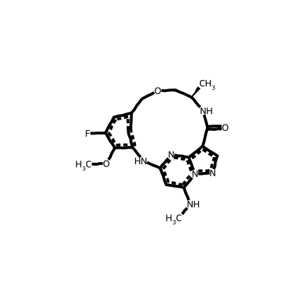 CNc1cc2nc3c(cnn13)C(=O)N[C@H](C)COCc1cc(F)c(OC)c(c1)N2